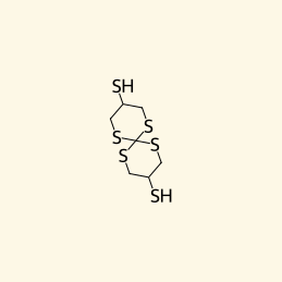 SC1CSC2(SC1)SCC(S)CS2